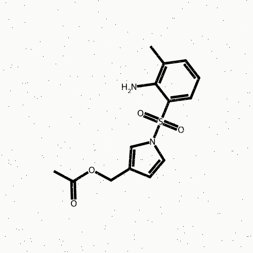 CC(=O)OCc1ccn(S(=O)(=O)c2cccc(C)c2N)c1